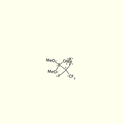 CO[B-](OC)(OC)C(F)(F)C(F)(F)F.[K+]